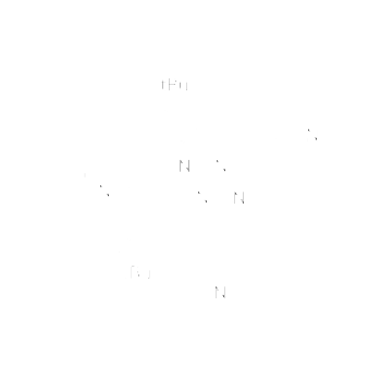 CC(C)(C)c1ccc2c(c1)c1cc3c(cc1n2-c1ccccc1)c1cc(C(C)(C)C)ccc1n3-c1nc(-c2ccc3ncccc3c2)nc(-c2ccc3ncccc3c2)n1